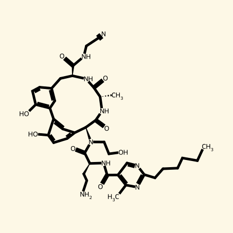 CCCCCCc1ncc(C(=O)N[C@@H](CCN)C(=O)N(CCO)[C@@H]2C(=O)N[C@@H](C)C(=O)N[C@H](C(=O)NCC#N)Cc3ccc(O)c(c3)-c3cc2ccc3O)c(C)n1